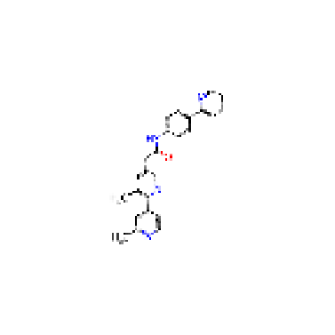 Cc1cc(-c2ncc(CC(=O)Nc3ccc(-c4ccccn4)cc3)cc2C)ccn1